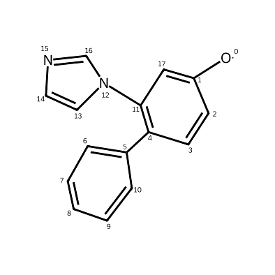 [O]c1ccc(-c2ccccc2)c(-n2ccnc2)c1